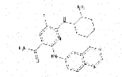 NC(=O)c1cc(F)c(NC2CCCCC2N)nc1Nc1ccc2ncncc2c1